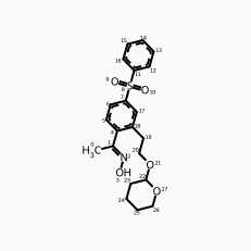 CC(=NO)c1ccc(S(=O)(=O)c2ccccc2)cc1CCOC1CCCCO1